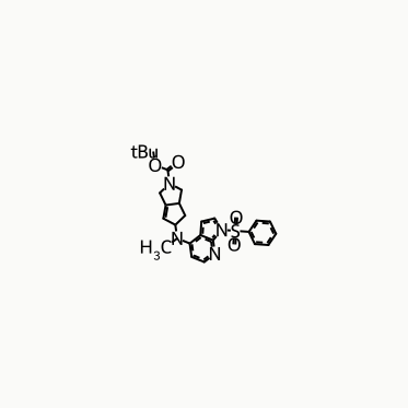 CN(c1ccnc2c1ccn2S(=O)(=O)c1ccccc1)C1C=C2CN(C(=O)OC(C)(C)C)CC2C1